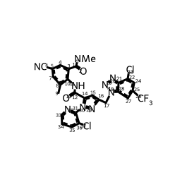 CNC(=O)c1cc(C#N)cc(C)c1NC(=O)c1cc(Cn2nnc3c(Cl)cc(C(F)(F)F)cc32)nn1-c1ncccc1Cl